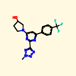 Cn1nnc(-c2nc(-c3ccc(C(F)(F)F)cc3)cc(N3CCC(O)C3)n2)n1